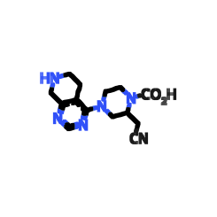 N#CCC1CN(c2ncnc3c2CCNC3)CCN1C(=O)O